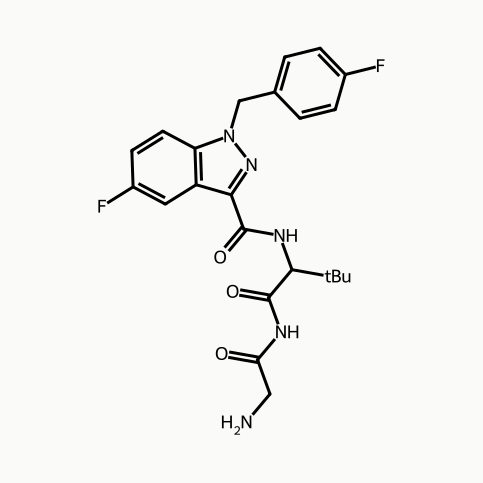 CC(C)(C)C(NC(=O)c1nn(Cc2ccc(F)cc2)c2ccc(F)cc12)C(=O)NC(=O)CN